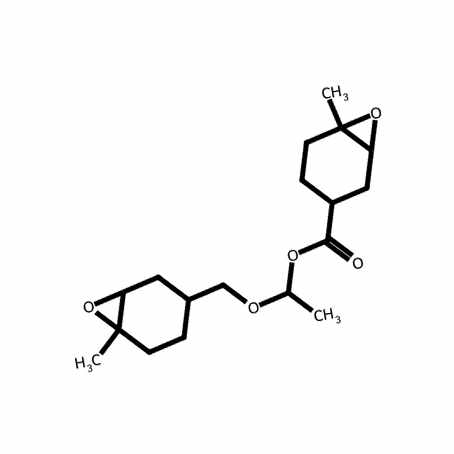 CC(OCC1CCC2(C)OC2C1)OC(=O)C1CCC2(C)OC2C1